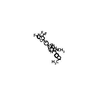 CC1=CCc2cc(-c3c4ncn(CC5(O)CCN(C(=O)CC(C(F)F)n6ccc(F)n6)CC5)c(=O)c4nn3C)ccc21